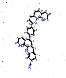 N#Cc1ccc2cc3cc(-c4ccc(-c5ccc6ccc7cccnc7c6n5)cc4)c4cccnc4c3nc2c1